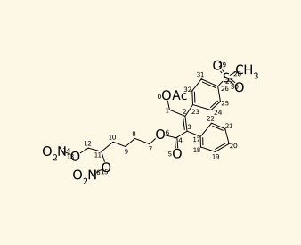 CC(=O)OC/C(=C(\C(=O)OCCCCC(CO[N+](=O)[O-])O[N+](=O)[O-])c1ccccc1)c1ccc(S(C)(=O)=O)cc1